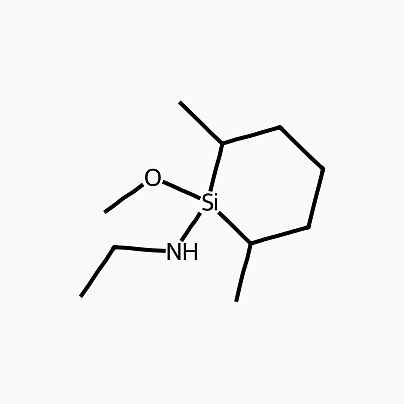 CCN[Si]1(OC)C(C)CCCC1C